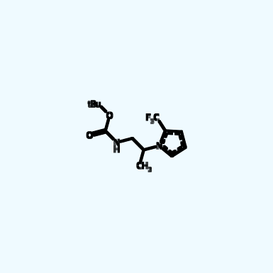 CC(CNC(=O)OC(C)(C)C)n1cccc1C(F)(F)F